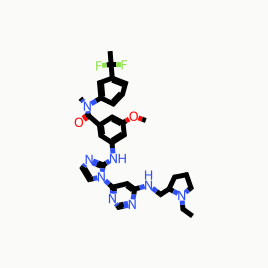 CCN1CCCC1CNc1cc(-n2ccnc2Nc2cc(OC)cc(C(=O)N(C)c3cccc(C(C)(F)F)c3)c2)ncn1